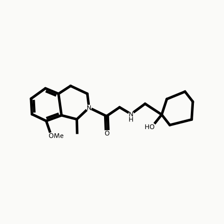 COc1cccc2c1C(C)N(C(=O)CNCC1(O)CCCCC1)CC2